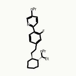 CCCc1ccc(-c2ccc(CC[C@@H]3CCCC[C@H]3C(CC)CCC)cc2F)nc1